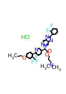 CCCOc1ccc(-c2ccc(C(C(=O)OCCCN(C)C)n3cc4nc(-c5cccc(F)c5F)nc-4cn3)cn2)c(C(F)(F)F)c1.Cl